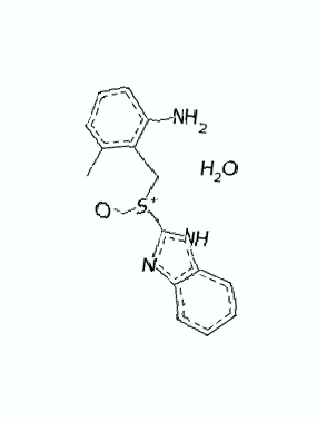 Cc1cccc(N)c1C[S+]([O-])c1nc2ccccc2[nH]1.O